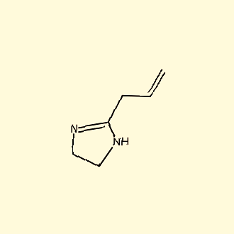 C=CCC1=NCCN1